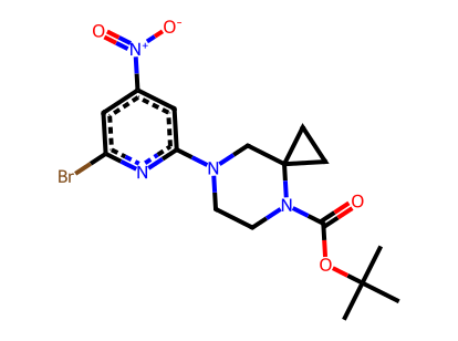 CC(C)(C)OC(=O)N1CCN(c2cc([N+](=O)[O-])cc(Br)n2)CC12CC2